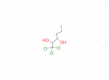 CCCC(O)C(O)C(Cl)(Cl)Cl